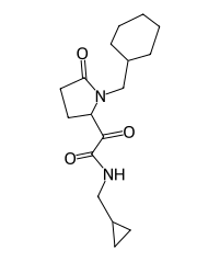 O=C(NCC1CC1)C(=O)C1CCC(=O)N1CC1CCCCC1